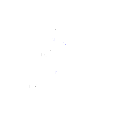 CC1=CC=C2C(C1)c1cc3c(cc1N2c1ccc(C)cc1)C(C)(C)c1nc(C)cnc1-3